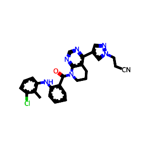 Cc1c(Cl)cccc1Nc1ccccc1C(=O)N1CCCc2c(-c3cnn(CCC#N)c3)ncnc21